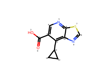 O=C(O)c1cnc2scnc2c1C1CC1